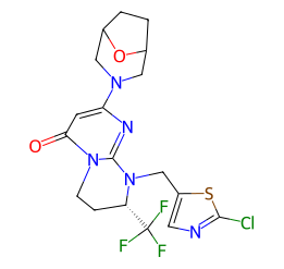 O=c1cc(N2CC3CCC(C2)O3)nc2n1CC[C@@H](C(F)(F)F)N2Cc1cnc(Cl)s1